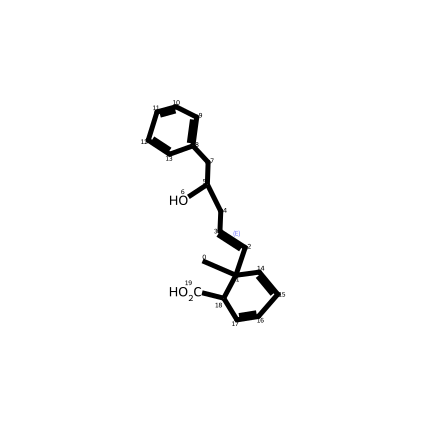 CC1(/C=C/CC(O)Cc2ccccc2)C=CC=CC1C(=O)O